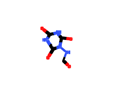 O=CNn1c(=O)[nH]c(=O)[nH]c1=O